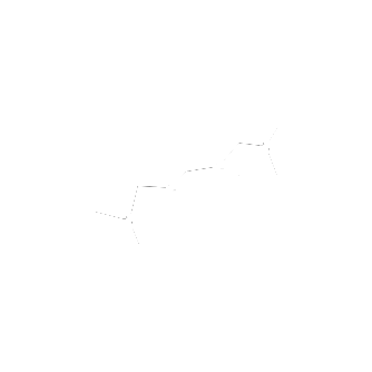 CN(C)C[SiH2]C[SiH2]CN(C)C